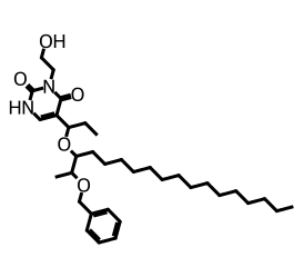 CCCCCCCCCCCCCCCC(OC(CC)c1c[nH]c(=O)n(CCO)c1=O)C(C)OCc1ccccc1